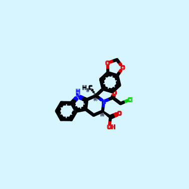 C[C@@]1(c2ccc3c(c2)OCO3)c2[nH]c3ccccc3c2C[C@H](C(=O)O)N1C(=O)CCl